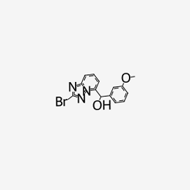 COc1cccc(C(O)c2cccc3nc(Br)nn23)c1